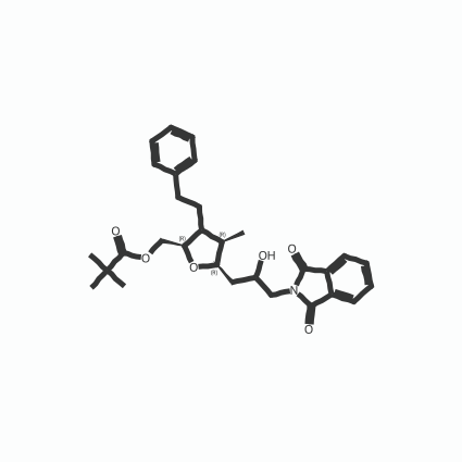 C[C@@H]1C(CCc2ccccc2)[C@H](COC(=O)C(C)(C)C)O[C@@H]1CC(O)CN1C(=O)c2ccccc2C1=O